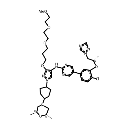 COCCOCCOCCCOc1nn(C2CCC(N3C[C@@H](C)O[C@@H](C)C3)CC2)cc1Nc1ncc(-c2ccc(Cl)c(O[C@@H](C)Cn3cncn3)c2)cn1